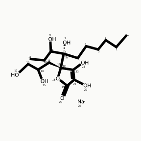 CCCCCC[C@](O)(C(O)CC)[C@@]1(CC(O)CO)OC(=O)C(O)=C1O.[Na]